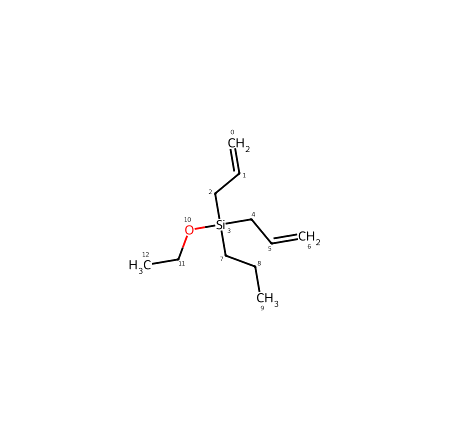 C=CC[Si](CC=C)(CCC)OCC